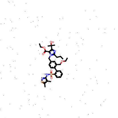 CCCc1nc(C(C)(C)O)c(C(=O)OCC)n1Cc1ccc(-c2ccccc2S(=O)(=O)Nc2nsc(C)c2C)c(COCC)c1